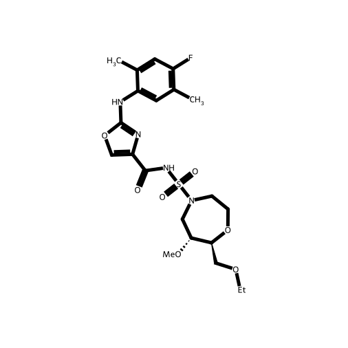 CCOC[C@@H]1OCCN(S(=O)(=O)NC(=O)c2coc(Nc3cc(C)c(F)cc3C)n2)C[C@H]1OC